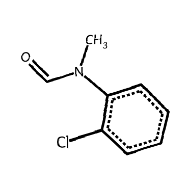 CN(C=O)c1ccccc1Cl